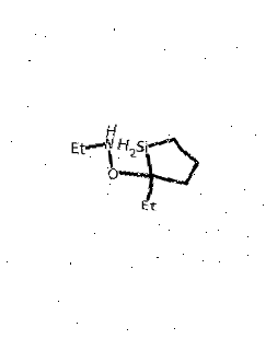 CCNOC1(CC)CCC[SiH2]1